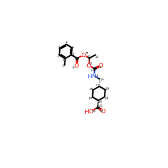 Cc1ccccc1C(=O)OC(C)OC(=O)NC[C@H]1CC[C@H](C(=O)O)CC1